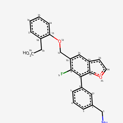 NCc1cccc(-c2c(F)c(COc3ccccc3CC(=O)O)cc3ccoc23)c1